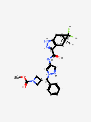 CC(C)(C)OC(=O)N1CC([C@@H](c2ccccc2)n2cc(NC(=O)c3n[nH]c4c3C[C@@H]3C(F)(F)[C@]3(C)C4)cn2)C1